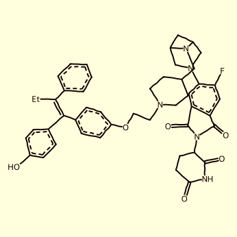 CCC(=C(c1ccc(O)cc1)c1ccc(OCCN2CCC(CN3C4CC3CN(c3cc5c(cc3F)C(=O)N(C3CCC(=O)NC3=O)C5=O)C4)CC2)cc1)c1ccccc1